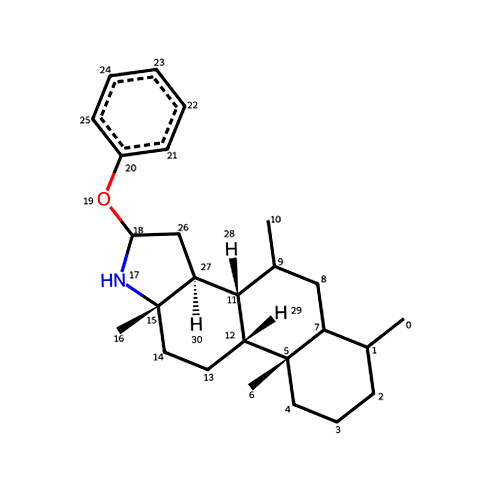 CC1CCC[C@@]2(C)C1CC(C)[C@@H]1[C@H]2CC[C@]2(C)NC(Oc3ccccc3)C[C@@H]12